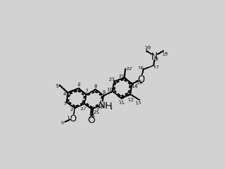 COc1cc(C)cc2cc(-c3cc(C)c(OCCN(C)C)c(C)c3)[nH]c(=O)c12